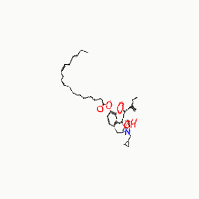 C=C(CC)[C@@H]1Oc2c(OC(=O)CCCCCCC/C=C\C/C=C\CCCCC)ccc3c2[C@@]12CCN(CC1CC1)C(C3)[C@@]2(C)O